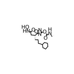 CNC(=O)Oc1noc([C@H](CCCC2CCCCC2)CC(=O)NO)n1